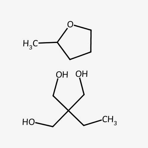 CC1CCCO1.CCC(CO)(CO)CO